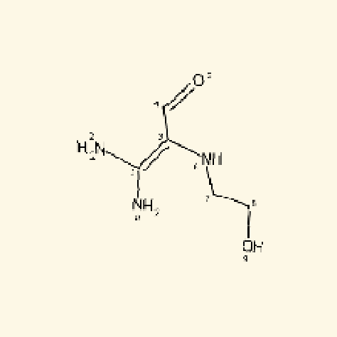 NC(N)=C(C=O)NCCO